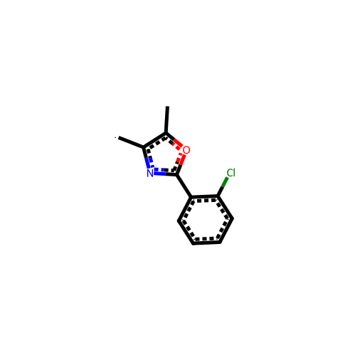 [CH2]c1nc(-c2ccccc2Cl)oc1C